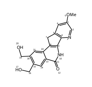 COc1cnc2c(c1)Cc1c-2[nH]c(=O)c2cc(CO)c(CO)cc12